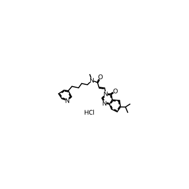 CC(C)c1ccc2ncn(C=CC(=O)N(C)CCCCc3cccnc3)c(=O)c2c1.Cl